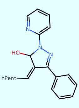 CCCCCC=C1C(c2ccccc2)=NN(c2ccccn2)C1O